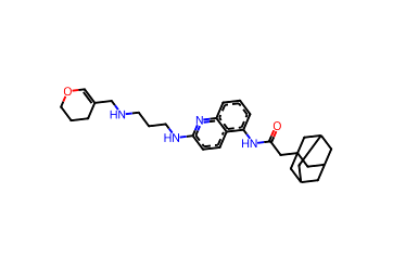 O=C(CC12CC3CC(CC(C3)C1)C2)Nc1cccc2nc(NCCCNCC3=COCCC3)ccc12